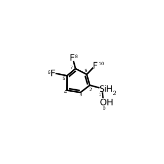 O[SiH2]c1ccc(F)c(F)c1F